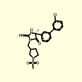 C[C@@]1(c2cccc(-c3cccc(Cl)c3)c2)NC(=N)N(CC2CCN(S(C)(=O)=O)C2)C1=O